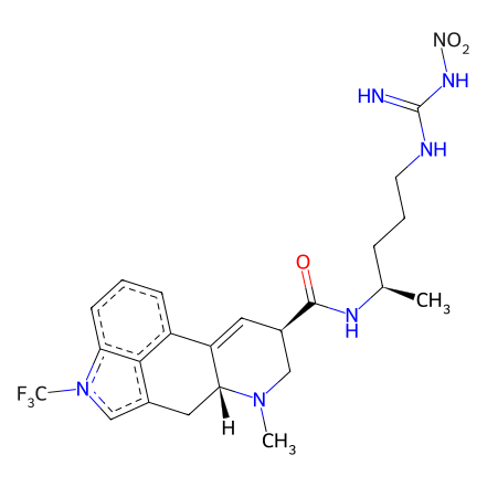 C[C@H](CCCNC(=N)N[N+](=O)[O-])NC(=O)[C@@H]1C=C2c3cccc4c3c(cn4C(F)(F)F)C[C@H]2N(C)C1